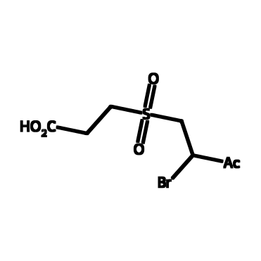 CC(=O)C(Br)CS(=O)(=O)CCC(=O)O